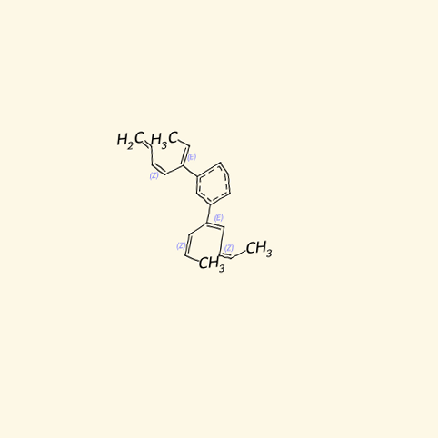 C=C/C=C\C(=C/C)c1cccc(C(/C=C\C)=C/C=C\C)c1